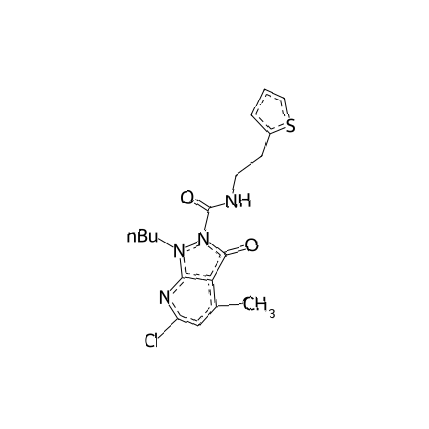 CCCCn1c2nc(Cl)cc(C)c2c(=O)n1C(=O)NCCc1cccs1